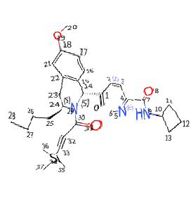 C=C(/C=C\C(=N/C)C(=O)NC1CCC1)[C@H]1c2ccc(OC)cc2C[C@H](CCCC)N1C(=O)C#C[Si](C)(C)C